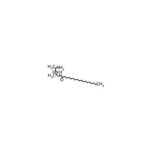 CCCCCCCCCCCCCCCCCC(=O)NCC(C)NCC(C)N